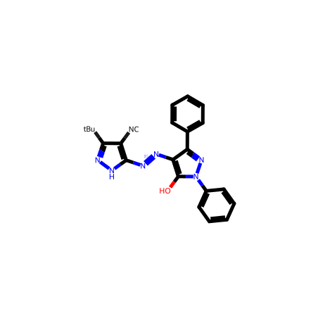 [C-]#[N+]c1c(C(C)(C)C)n[nH]c1/N=N/c1c(-c2ccccc2)nn(-c2ccccc2)c1O